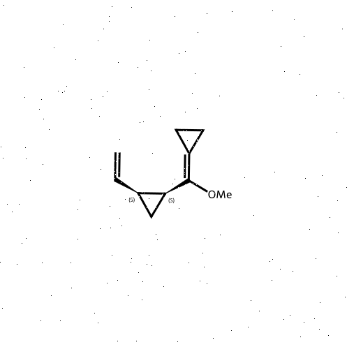 C=C[C@@H]1C[C@@H]1C(OC)=C1CC1